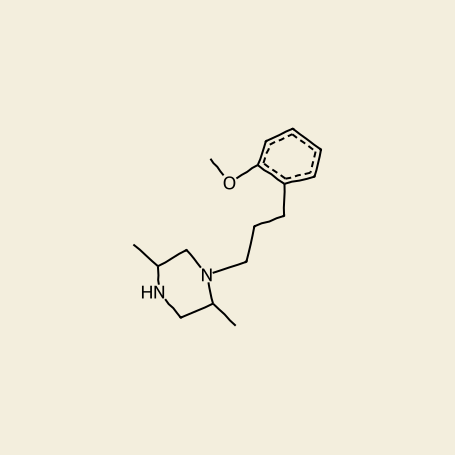 COc1ccccc1CCCN1CC(C)NCC1C